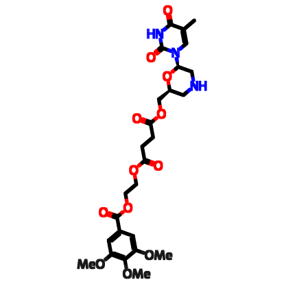 COc1cc(C(=O)OCCOC(=O)CCC(=O)OC[C@@H]2CNC[C@H](n3cc(C)c(=O)[nH]c3=O)O2)cc(OC)c1OC